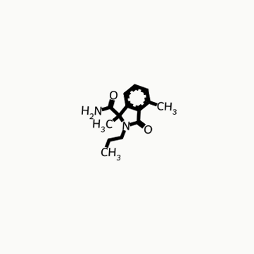 CCCN1C(=O)c2c(C)cccc2C1(C)C(N)=O